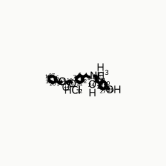 C[C@H](NCCc1ccc(OCC(=O)OCc2ccccc2)cc1)[C@H](O)c1ccc(O)cc1.Cl